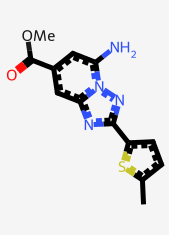 COC(=O)c1cc(N)n2nc(-c3ccc(C)s3)nc2c1